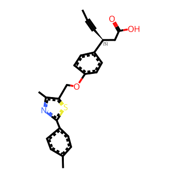 CC#C[C@@H](CC(=O)O)c1ccc(OCc2sc(-c3ccc(C)cc3)nc2C)cc1